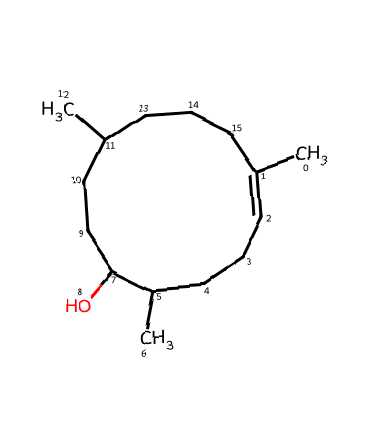 C/C1=C/CCC(C)C(O)CCC(C)CCC1